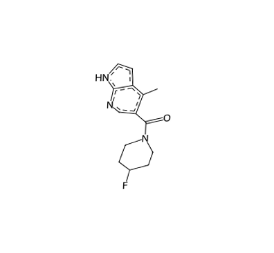 Cc1c(C(=O)N2CCC(F)CC2)cnc2[nH]ccc12